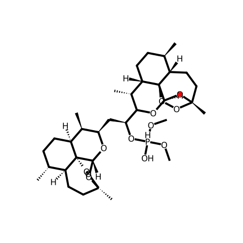 CO[PH](O)(OC)O[C@@H](C[C@H]1O[C@@H]2O[C@]3(C)CC[C@H]4[C@H](C)CC[C@@H]([C@H]1C)[C@@]24OO3)C1O[C@@H]2O[C@]3(C)CC[C@H]4[C@H](C)CC[C@@H]([C@H]1C)[C@@]24OO3